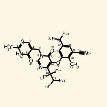 Cc1ncc(Cn2cnc(C(F)(F)C(F)F)c(Oc3cc(C(F)F)cc(C#N)c3C)c2=O)c(=O)[nH]1